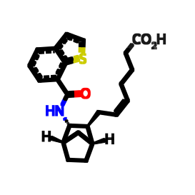 O=C(O)CCC/C=C\C[C@H]1[C@@H]2CC[C@@H](C2)[C@@H]1NC(=O)c1cccc2ccsc12